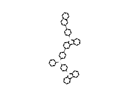 c1ccc(N(c2ccc(-c3ccc4c(c3)c3ccccc3n4-c3ccc(-c4ccc5ccccc5c4)cc3)cc2)c2ccc(-n3c4ccccc4c4ccccc43)cc2)cc1